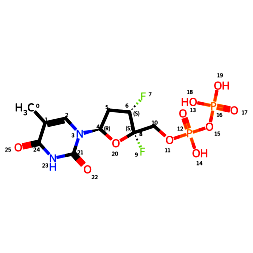 Cc1cn([C@H]2C[C@H](F)[C@@](F)(COP(=O)(O)OP(=O)(O)O)O2)c(=O)[nH]c1=O